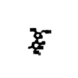 CC1=CN([C@@H]2CC(O)[C@H](CO)O2)C(=O)NC1N